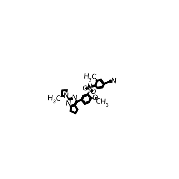 COc1ccc(-c2nc(N3CC[C@@H]3C)nc3c2CCC3)cc1S(=O)(=O)N=C1C=CC(C#N)=CC1C